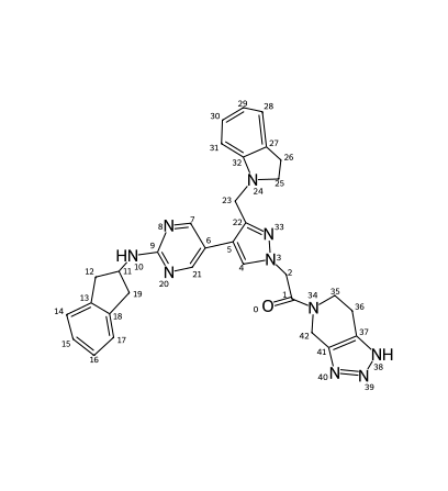 O=C(Cn1cc(-c2cnc(NC3Cc4ccccc4C3)nc2)c(CN2CCc3ccccc32)n1)N1CCc2[nH]nnc2C1